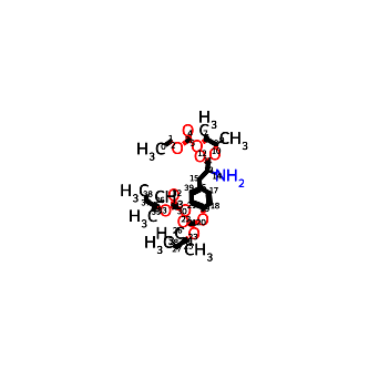 CCOC(=O)OC(C)[C@H](C)OC(=O)[C@@H](N)Cc1ccc(OC(=O)OC(C)(C)CC)c(OC(=O)OC(C)(C)CC)c1